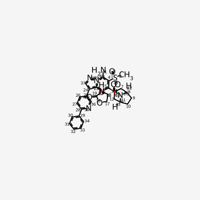 CS(=O)(=O)c1c([C@H]2C[C@H]3CC[C@@H](C2)N3C(=O)[C@@H]2COC(=O)N2)nc2c(-c3ccc(-c4ccccc4)nc3)cnn2c1N